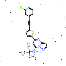 CC(C)(C)Nc1cc(-c2ccc(C#Cc3cccc(F)c3)s2)nc2ccnn12